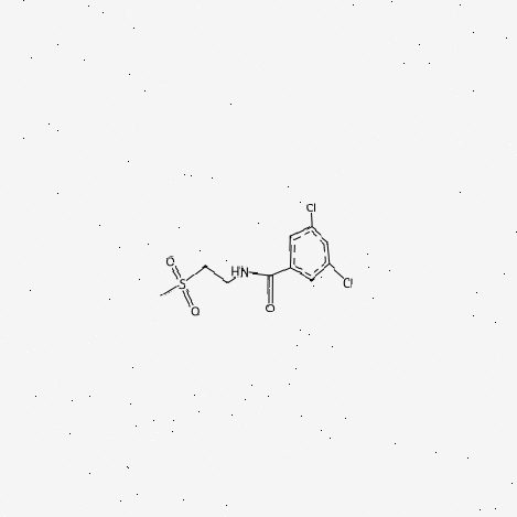 CS(=O)(=O)CCNC(=O)c1cc(Cl)cc(Cl)c1